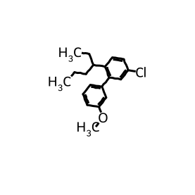 CCCC(CC)c1ccc(Cl)cc1-c1cccc(OC)c1